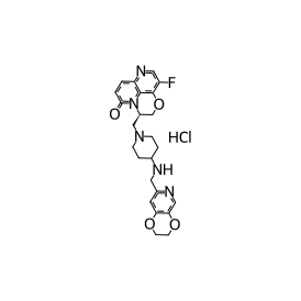 Cl.O=c1ccc2ncc(F)c3c2n1[C@H](CN1CCC(NCc2cc4c(cn2)OCCO4)CC1)CO3